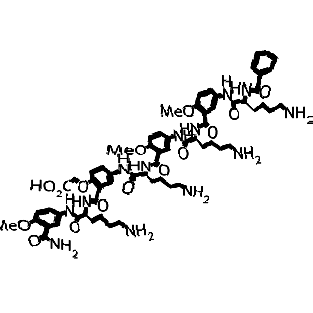 COc1ccc(NC(=O)[C@H](CCCCN)NC(=O)c2cc(NC(=O)[C@H](CCCCN)NC(=O)c3cc(NC(=O)[C@H](CCCCN)NC(=O)c4cc(NC(=O)[C@H](CCCCN)NC(=O)c5ccccc5)ccc4OC)ccc3OC)ccc2OCC(=O)O)cc1C(N)=O